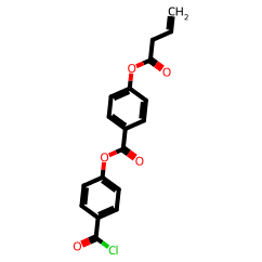 C=CCC(=O)Oc1ccc(C(=O)Oc2ccc(C(=O)Cl)cc2)cc1